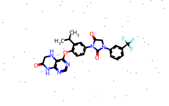 CC(C)c1cc(N2C(=O)CN(c3cccc(C(F)(F)F)c3)C2=O)ccc1Oc1ncnc2c1NCC(=O)N2